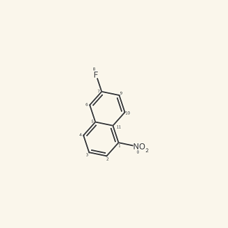 O=[N+]([O-])c1cccc2cc(F)ccc12